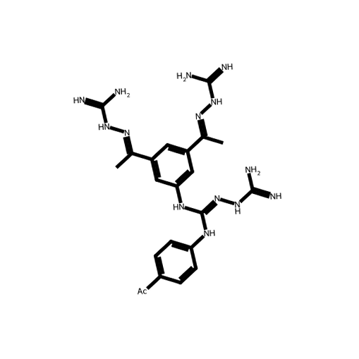 CC(=O)c1ccc(NC(=NNC(=N)N)Nc2cc(C(C)=NNC(=N)N)cc(C(C)=NNC(=N)N)c2)cc1